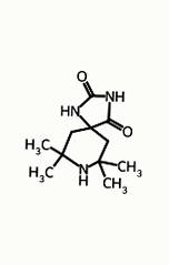 CC1(C)CC2(CC(C)(C)N1)NC(=O)NC2=O